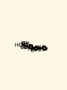 CC(C)(O)C(C)(C)OBc1ccc2c(c1)oc1cc3sc(-c4ccccc4)nc3cc12